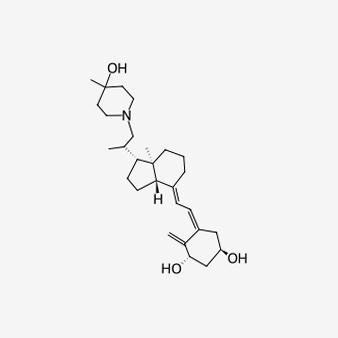 C=C1C(=CC=C2CCC[C@]3(C)[C@@H](C(C)CN4CCC(C)(O)CC4)CC[C@@H]23)C[C@@H](O)C[C@@H]1O